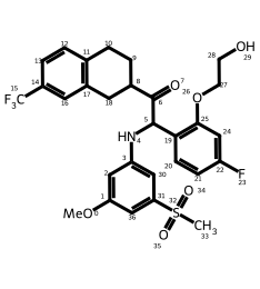 COc1cc(NC(C(=O)C2CCc3ccc(C(F)(F)F)cc3C2)c2ccc(F)cc2OCCO)cc(S(C)(=O)=O)c1